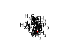 CCCS(N)(=O)=O.COc1cccc(-c2nnc(NS(=O)(=O)[C@@H](C)[C@@H](OC)c3ncc(C)nc3OC)n2-c2c(OC)cccc2OC)n1